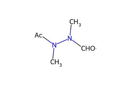 CC(=O)N(C)N(C)[C]=O